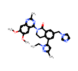 CCn1nc(C)cc1-c1cc(Cn2ccnc2)cc2c1CCN(c1nc(C)nc3cc(OC)c(OC)cc13)C2=O